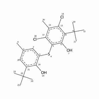 Cc1cc(Sc2c(O)c(C(C)(C)C)c(Cl)c(C)c2Cl)c(O)c(C(C)(C)C)c1